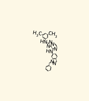 Cc1cc(C)cc(Nc2nc3c(Nc4ccc5cnn(Cc6ccccc6)c5c4)nccn3n2)c1